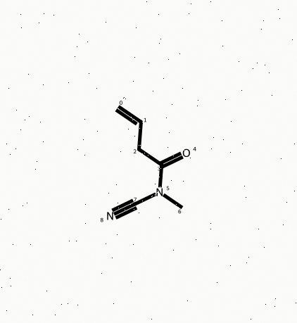 C=CCC(=O)N(C)C#N